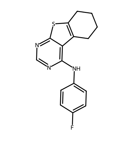 Fc1ccc(Nc2ncnc3sc4c(c23)CCCC4)cc1